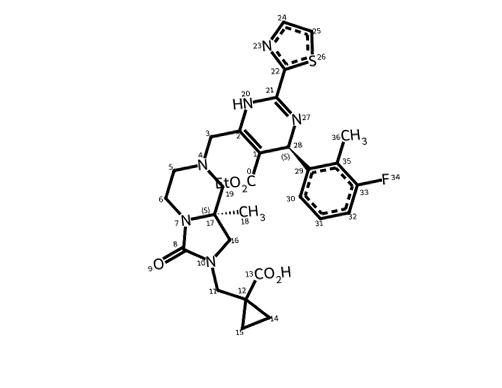 CCOC(=O)C1=C(CN2CCN3C(=O)N(CC4(C(=O)O)CC4)C[C@]3(C)C2)NC(c2nccs2)=N[C@H]1c1cccc(F)c1C